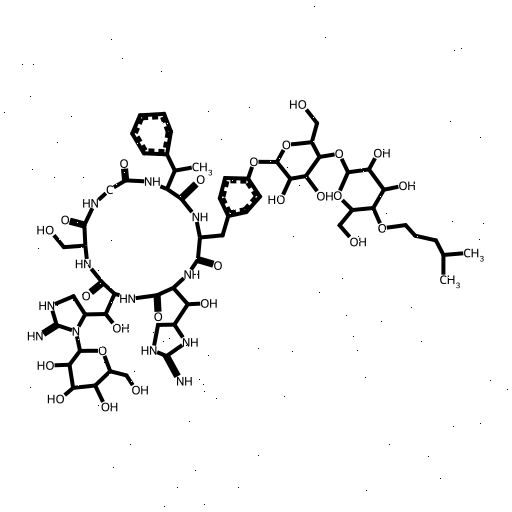 CC(C)CCCOC1C(CO)OC(OC2C(CO)OC(Oc3ccc(CC4NC(=O)C(C(C)c5ccccc5)NC(=O)CNC(=O)C(CO)NC(=O)C(C(O)C5CNC(=N)N5C5OC(CO)C(O)C(O)C5O)NC(=O)C(C(O)C5CNC(=N)N5)NC4=O)cc3)C(O)C2O)C(O)C1O